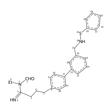 CCN(C=O)C(=N)CCCc1ccc(-c2cccc(CNSc3ccccc3)c2)cc1